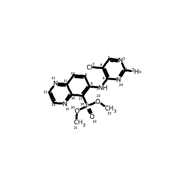 [2H]c1ncc(Cl)c(Nc2ccc3nccnc3c2P(=O)(OC)OC)n1